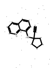 C#CC1(Oc2cccc3cccnc23)CCCC1